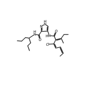 C\C=C/C=C(Cl)\C(C(=O)Nc1c[nH]nc1C(=O)NC(CCC)CCC)=C(/C)CC